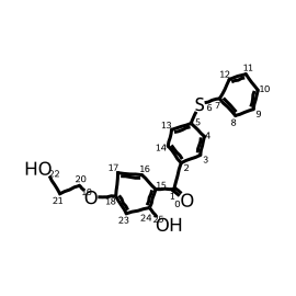 O=C(c1ccc(Sc2ccccc2)cc1)c1ccc(OCCO)cc1O